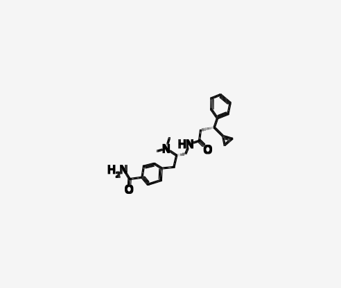 CN(C)[C@H](CNC(=O)C[C@@H](C1=CC1)c1ccccc1)Cc1ccc(C(N)=O)cc1